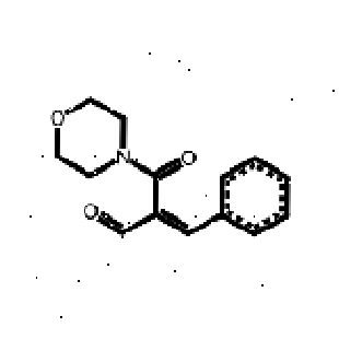 O=[C]C(=Cc1ccccc1)C(=O)N1CCOCC1